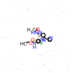 C#CCOC(=O)Nc1ccc(-n2nc(-c3cccnc3)c3c2-c2sc(NC(C)=O)nc2CC3)c(F)c1